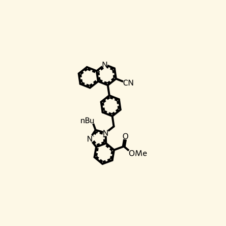 CCCCc1nc2cccc(C(=O)OC)c2n1Cc1ccc(-c2c(C#N)cnc3ccccc23)cc1